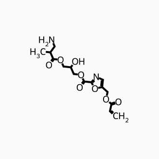 C=CC(=O)OCc1cnc(C(=O)OCC(O)COC(=O)C(C)CN)o1